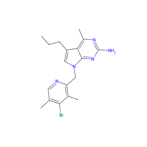 CCCc1cn(Cc2ncc(C)c(Br)c2C)c2nc(N)nc(C)c12